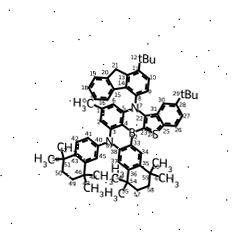 Cc1cc2c3c(c1)N(c1ccc(C(C)(C)C)c4c1-c1ccccc1C4)c1c(sc4ccc(C(C)(C)C)cc14)B3c1cc3c(cc1N2c1ccc2c(c1)C(C)(C)CCC2(C)C)C(C)(C)CCC3(C)C